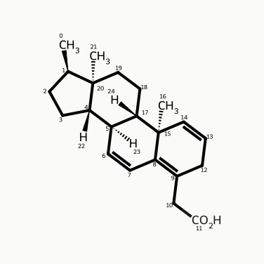 C[C@@H]1CC[C@H]2[C@@H]3C=CC4=C(CC(=O)O)CC=C[C@]4(C)[C@H]3CC[C@]12C